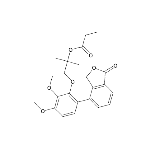 CCC(=O)OC(C)(C)COc1c(-c2cccc3c2COC3=O)ccc(OC)c1OC